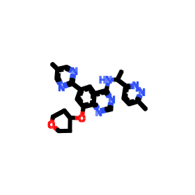 Cc1cnc(-c2cc(OC3CCOCC3)c3ncnc(NC(C)c4ccc(C)nn4)c3c2)nc1